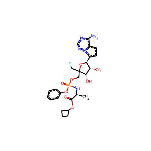 C[C@H](NP(=O)(OC[C@@]1(CF)O[C@@H](c2ccc3c(N)ncnn23)[C@H](O)[C@@H]1O)Oc1ccccc1)C(=O)OC1CCC1